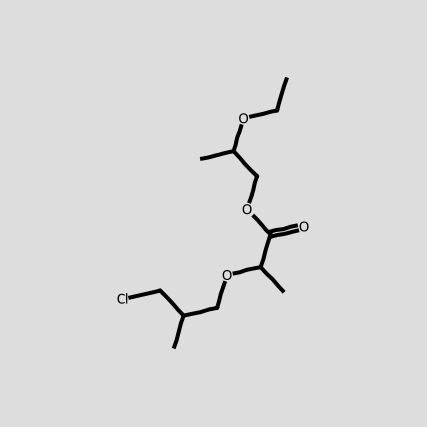 CCOC(C)COC(=O)C(C)OCC(C)CCl